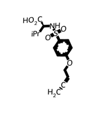 C=C=CCOc1ccc(S(=O)(=O)N[C@H](C(=O)O)C(C)C)cc1